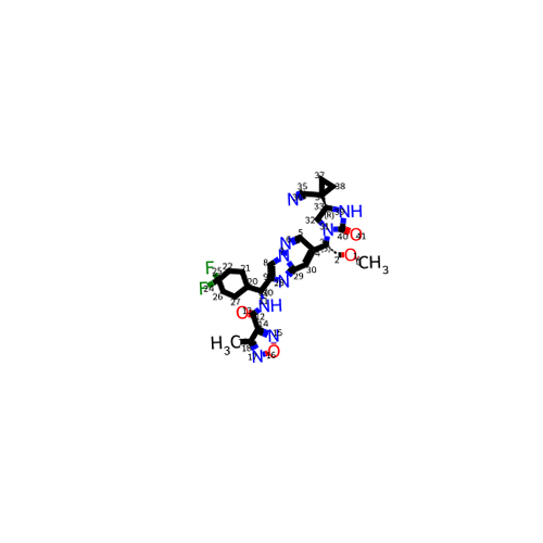 COC[C@H](c1cnn2cc([C@@H](NC(=O)c3nonc3C)C3CCC(F)(F)CC3)nc2c1)N1C[C@@H](C2(C#N)CC2)NC1=O